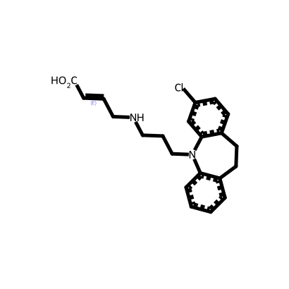 O=C(O)/C=C/CNCCCN1c2ccccc2CCc2ccc(Cl)cc21